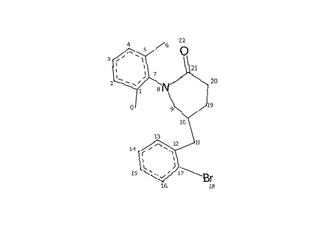 Cc1cccc(C)c1N1CC(Cc2ccccc2Br)CCC1=O